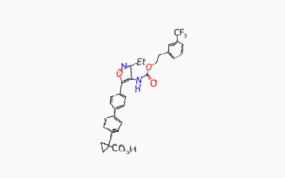 CCc1noc(-c2ccc(-c3ccc(C4(C(=O)O)CC4)cc3)cc2)c1NC(=O)OCCc1cccc(C(F)(F)F)c1